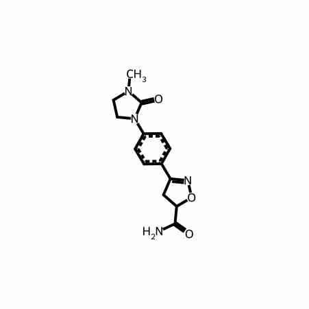 CN1CCN(c2ccc(C3=NOC(C(N)=O)C3)cc2)C1=O